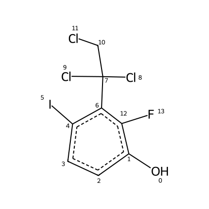 Oc1ccc(I)c(C(Cl)(Cl)CCl)c1F